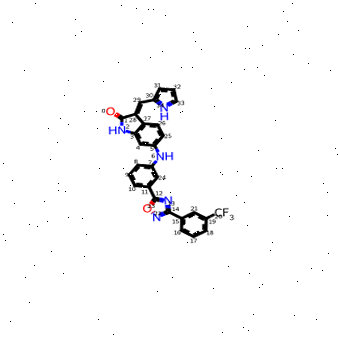 O=C1Nc2cc(Nc3cccc(-c4nc(-c5cccc(C(F)(F)F)c5)no4)c3)ccc2C1=Cc1ccc[nH]1